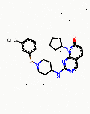 O=Cc1cccc(SN2CCC(Nc3ncc4ccc(=O)n(C5CCCC5)c4n3)CC2)c1